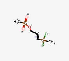 CS(F)(F)/C=C/COS(C)(=O)=O